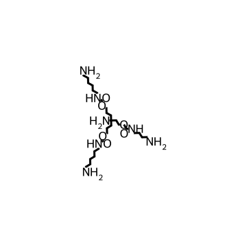 NCCCCCCNC(=O)OCCCC(N)(CCCOC(=O)NCCCCCCN)CCOC(=O)NCCCCN